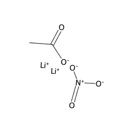 CC(=O)[O-].O=[N+]([O-])[O-].[Li+].[Li+]